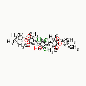 CCCCC(CC)COc1c(OC)cc(/C=C/c2c(O)c(Cl)c(/C=C/c3cc(OC)c(OCC(CC)CCCC)c(OC)c3)c(Cl)c2Cl)cc1OC